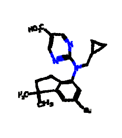 CC(C)(C)c1cc(N(CC2CC2)c2ncc(C(=O)O)cn2)c2c(c1)C(C)(C)CC2